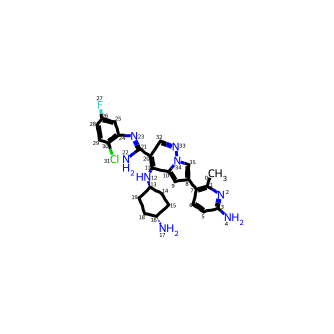 Cc1nc(N)ccc1-c1cc2c(N[C@H]3CC[C@H](N)CC3)c(/C(N)=N/c3cc(F)ccc3Cl)cnn2c1